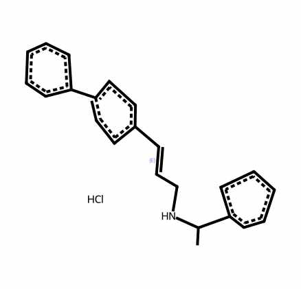 CC(NC/C=C/c1ccc(-c2ccccc2)cc1)c1ccccc1.Cl